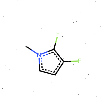 Cn1ccc(F)c1F